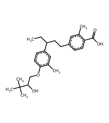 CCC(CCc1ccc(C(=O)O)c(C)c1)c1ccc(OCC(O)C(C)(C)C)c(C)c1